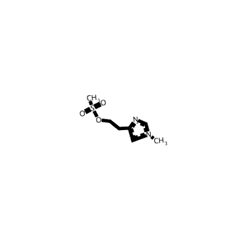 Cn1cnc(CCOS(C)(=O)=O)c1